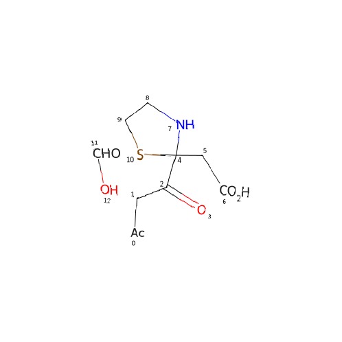 CC(=O)CC(=O)C1(CC(=O)O)NCCS1.O=CO